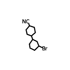 N#CC1CCC(C2CCCC(Br)C2)CC1